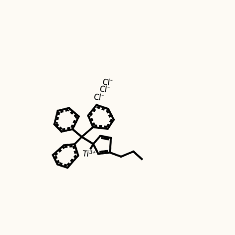 CCCC1=C[C]([Ti+3])(C(c2ccccc2)(c2ccccc2)c2ccccc2)C=C1.[Cl-].[Cl-].[Cl-]